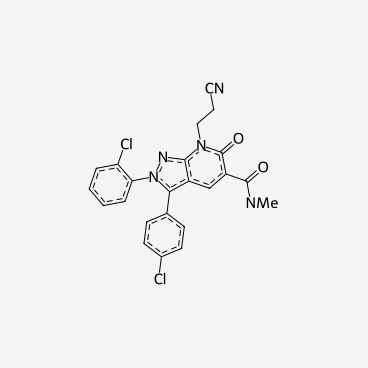 CNC(=O)c1cc2c(-c3ccc(Cl)cc3)n(-c3ccccc3Cl)nc2n(CCC#N)c1=O